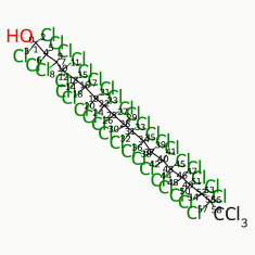 OC(Cl)(Cl)C(Cl)(Cl)C(Cl)(Cl)C(Cl)(Cl)C(Cl)(Cl)C(Cl)(Cl)C(Cl)(Cl)C(Cl)(Cl)C(Cl)(Cl)C(Cl)(Cl)C(Cl)(Cl)C(Cl)(Cl)C(Cl)(Cl)C(Cl)(Cl)C(Cl)(Cl)C(Cl)(Cl)C(Cl)(Cl)C(Cl)(Cl)C(Cl)(Cl)C(Cl)(Cl)Cl